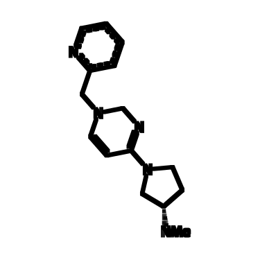 CN[C@H]1CCN(C2=NCN(Cc3ccccn3)C=C2)C1